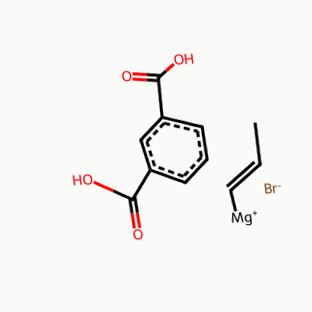 CC=[CH][Mg+].O=C(O)c1cccc(C(=O)O)c1.[Br-]